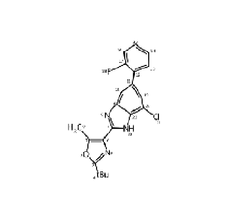 Cc1oc(C(C)(C)C)nc1-c1nc2cc(-c3ccccc3F)cc(Cl)c2[nH]1